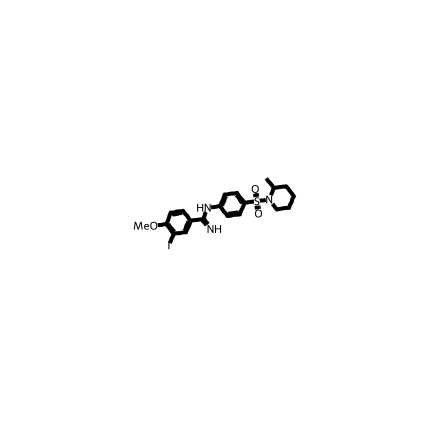 COc1ccc(C(=N)Nc2ccc(S(=O)(=O)N3CCCCC3C)cc2)cc1I